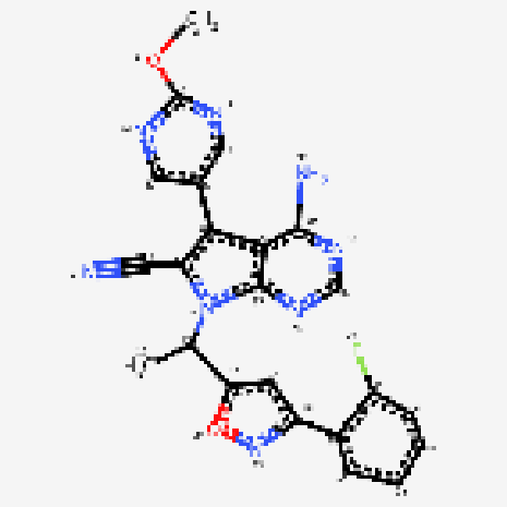 COc1ncc(-c2c(C#N)n(C(C)c3cc(-c4ccccc4F)no3)c3ncnc(N)c23)cn1